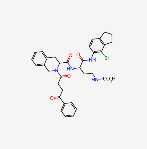 O=C(O)NCCC(NC(=O)[C@@H]1Cc2ccccc2CN1C(=O)CCC(=O)c1ccccc1)C(=O)Nc1ccc2c(c1Br)CCC2